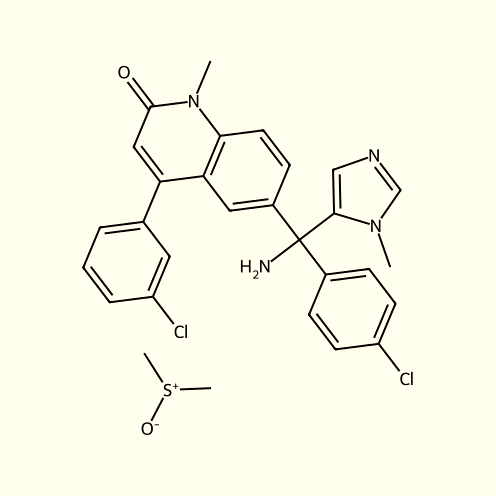 C[S+](C)[O-].Cn1cncc1C(N)(c1ccc(Cl)cc1)c1ccc2c(c1)c(-c1cccc(Cl)c1)cc(=O)n2C